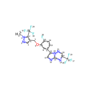 Cn1ncc(COc2cc(-c3cnc4nc(C(F)(F)F)cnn34)ccc2F)c1C(F)(F)F